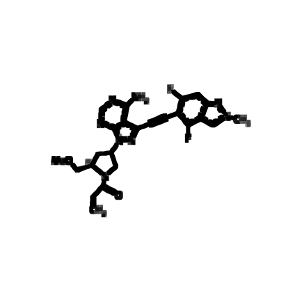 C=CC(=O)N1CC(n2nc(C#Cc3c(F)cc4nn(C)cc4c3F)c3c(N)ncnc32)C[C@@H]1COC